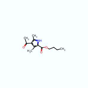 CCCCOC(=O)c1[nH]c(C)c(C(C)=O)c1C